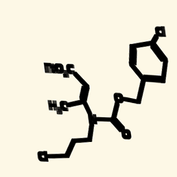 CCOC(=O)C=C(C)N(CCCCl)C(=O)OCc1ccc(Cl)cc1